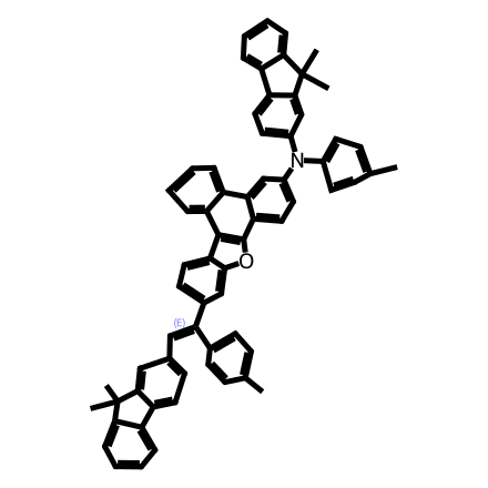 Cc1ccc(/C(=C\c2ccc3c(c2)C(C)(C)c2ccccc2-3)c2ccc3c(c2)oc2c4ccc(N(c5ccc(C)cc5)c5ccc6c(c5)C(C)(C)c5ccccc5-6)cc4c4ccccc4c32)cc1